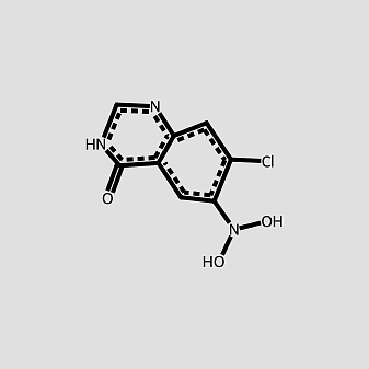 O=c1[nH]cnc2cc(Cl)c(N(O)O)cc12